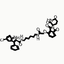 O=C(COc1cccc2c1C(=O)N(C1CCC(=O)NC1=O)C2=O)NCCCCCCNC(=O)c1[nH]c2ccc(Cl)cc2c1-c1ccccc1